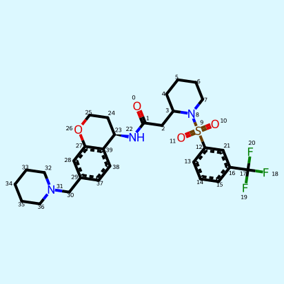 O=C(CC1CCCCN1S(=O)(=O)c1cccc(C(F)(F)F)c1)N[C@@H]1CCOc2cc(CN3CCCCC3)ccc21